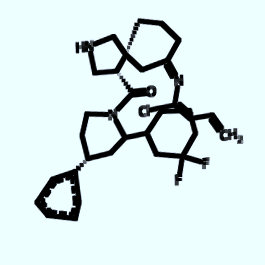 C=C/C=C(Cl)\N=C1\CCC[C@]2(CNC[C@H]2C(=O)N2CC[C@@H](c3ccccc3)CC2C2CCCC(F)(F)C2)C1